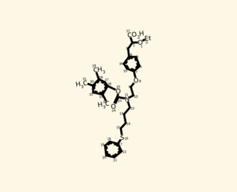 CCOC(Cc1ccc(OCCN(CCCCSc2ccccc2)C(=O)Oc2cc(C)c(C)cc2C)cc1)C(=O)O